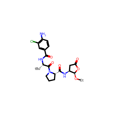 CCO[C@@H]1OC(=O)C[C@@H]1NC(=O)[C@@H]1CCCN1C(=O)[C@@H](NC(=O)c1ccc(N)c(Cl)c1)C(C)(C)C